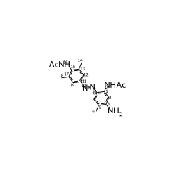 CC(=O)Nc1cc(N)c(C)cc1N=Nc1cc(C)c(NC(C)=O)c(C)c1